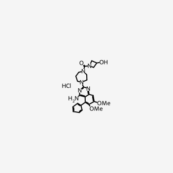 COc1cc2nc(N3CCCN(C(=O)N4CC(O)C4)CC3)nc(N)c2c(-c2ccccc2)c1OC.Cl